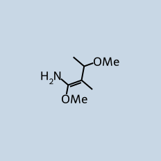 CO/C(N)=C(\C)C(C)OC